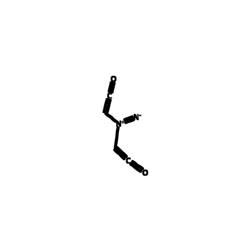 [N-]=[N+](C=C=O)C=C=O